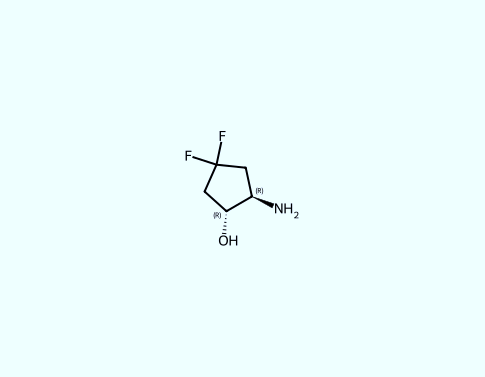 N[C@@H]1CC(F)(F)C[C@H]1O